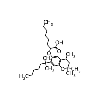 CCCCCCC(Oc1cc2c(cc1C(C)(C)CCCCC)OC(C)(C)CC2C)C(=O)O